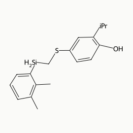 Cc1cccc([SiH2]CSc2ccc(O)c(C(C)C)c2)c1C